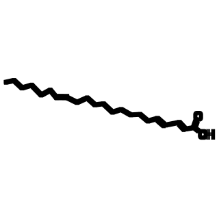 CCCCCCC=CCCCCCCCCCC=CC=CC(=O)O